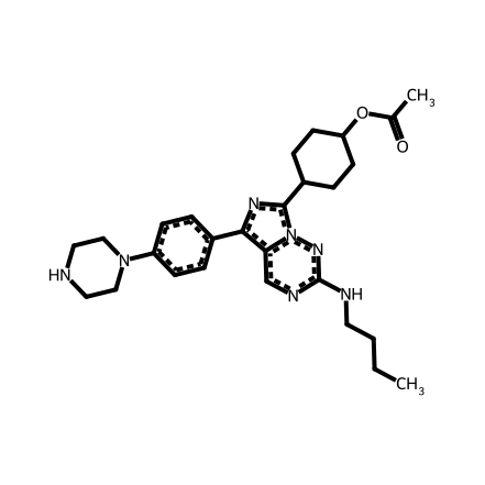 CCCCNc1ncc2c(-c3ccc(N4CCNCC4)cc3)nc(C3CCC(OC(C)=O)CC3)n2n1